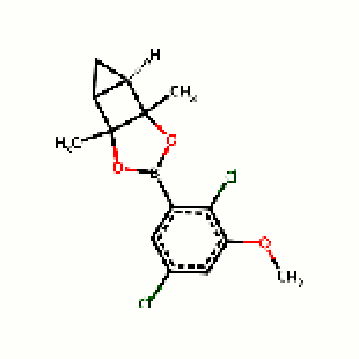 COc1cc(Cl)cc(B2OC3(C)C4C[C@H]4C3(C)O2)c1Cl